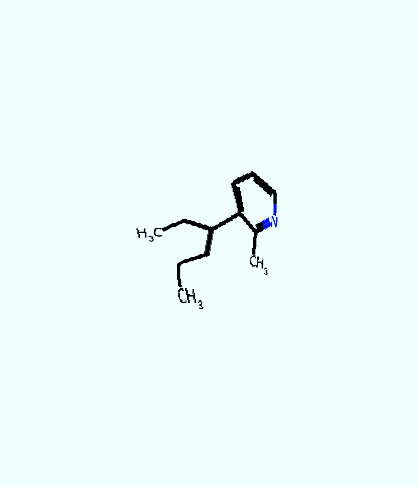 CCCC(CC)c1cccnc1C